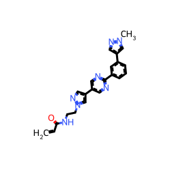 C=CC(=O)NCCn1cc(-c2cnc(-c3cccc(-c4cnn(C)c4)c3)nc2)cn1